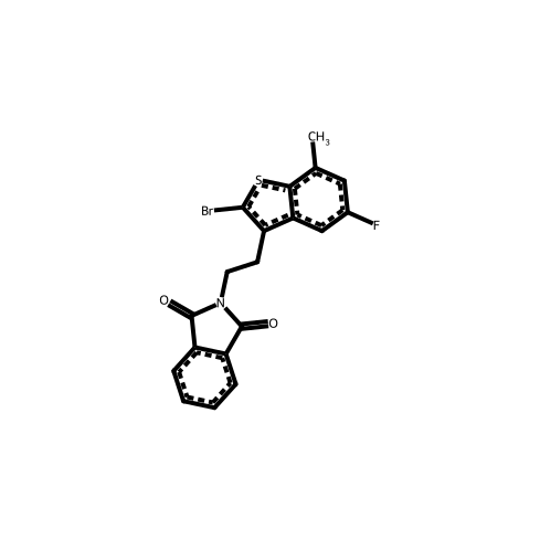 Cc1cc(F)cc2c(CCN3C(=O)c4ccccc4C3=O)c(Br)sc12